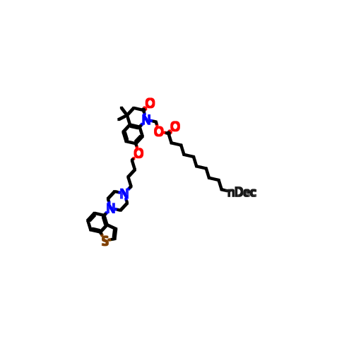 CCCCCCCCCCCCCCCCCCCC(=O)OCN1C(=O)CC(C)(C)c2ccc(OCCCCN3CCN(c4cccc5sccc45)CC3)cc21